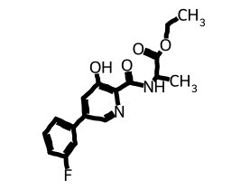 CCOC(=O)C(C)NC(=O)c1ncc(-c2cccc(F)c2)cc1O